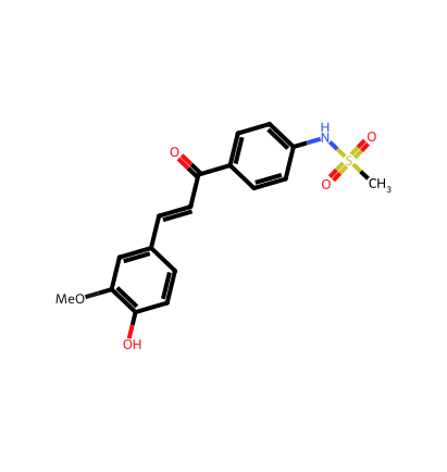 COc1cc(/C=C/C(=O)c2ccc(NS(C)(=O)=O)cc2)ccc1O